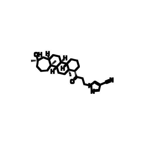 C[C@@]1(O)CCC[C@@]2(C)[C@H](CC[C@@H]3[C@@H]2CC[C@]2(C)[C@@H](C(=O)CCn4cc(C#N)cn4)CCC[C@@H]32)C1